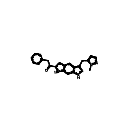 Cn1nccc1Cc1n[nH]c2cc3[nH]c(C(=O)Cc4ccccc4)cc3cc12